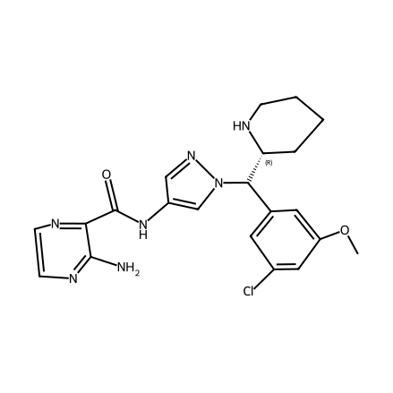 COc1cc(Cl)cc(C([C@H]2CCCCN2)n2cc(NC(=O)c3nccnc3N)cn2)c1